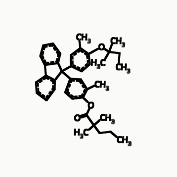 CCCC(C)(C)C(=O)Oc1ccc(C2(c3ccc(OC(C)(C)CC)c(C)c3)c3ccccc3-c3ccccc32)cc1C